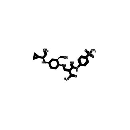 C=C[C@@H](N[C@@H]1CC[C@H](N/C=C(\C(=N)Nc2ccc(S(=O)(=O)C(F)(F)F)cc2)C(N)=O)[C@@H](CC#N)C1)C1CC1